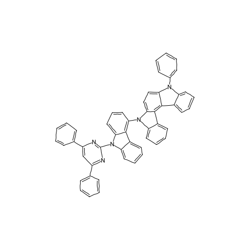 c1ccc(-c2cc(-c3ccccc3)nc(-n3c4ccccc4c4c(-n5c6ccccc6c6c7c8ccccc8n(-c8ccccc8)c7ccc65)cccc43)n2)cc1